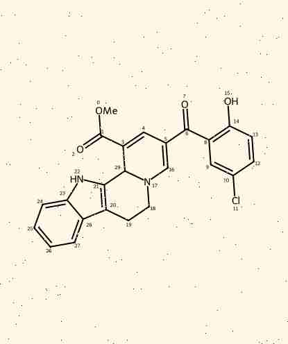 COC(=O)C1=CC(C(=O)c2cc(Cl)ccc2O)=CN2CCc3c([nH]c4ccccc34)C12